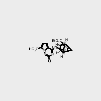 CCOC(=O)[C@H]1[C@H](Nc2nc(Cl)nn3c(C(=O)O)ccc23)[C@@H]2CC[C@H]1C1CC12